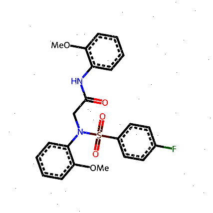 COc1ccccc1NC(=O)CN(c1ccccc1OC)S(=O)(=O)c1ccc(F)cc1